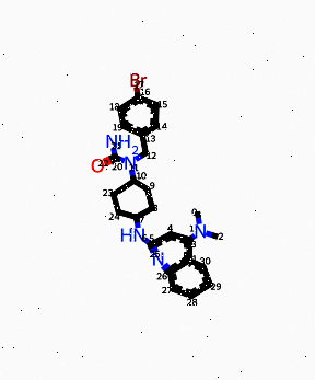 CN(C)c1cc(NC2CCC(N(Cc3ccc(Br)cc3)C(N)=O)CC2)nc2ccccc12